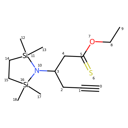 C#CCC(CC(=S)OCC)N1[Si](C)(C)CC[Si]1(C)C